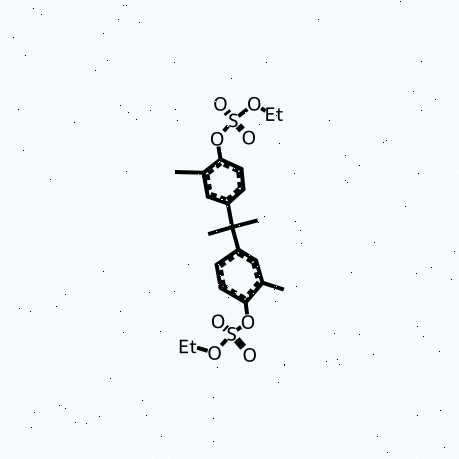 CCOS(=O)(=O)Oc1ccc(C(C)(C)c2ccc(OS(=O)(=O)OCC)c(C)c2)cc1C